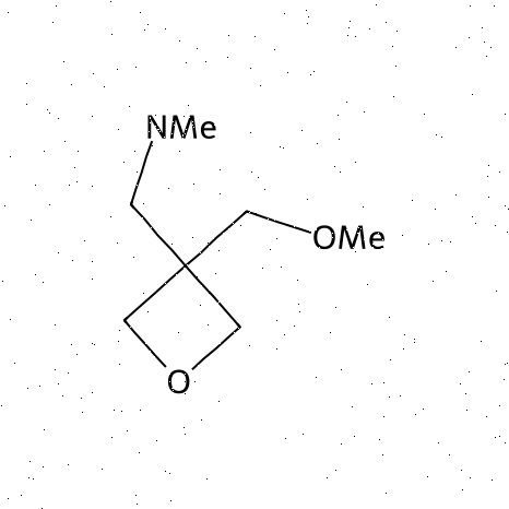 CNCC1(COC)COC1